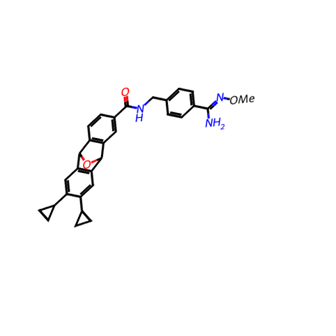 CON=C(N)c1ccc(CNC(=O)c2ccc3c(c2)C2OC3c3cc(C4CC4)c(C4CC4)cc32)cc1